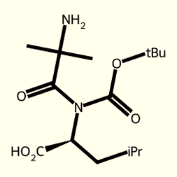 CC(C)C[C@@H](C(=O)O)N(C(=O)OC(C)(C)C)C(=O)C(C)(C)N